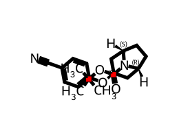 CC(C)(C)OC(=O)N1[C@@H]2CC[C@H]1C[C@H](Oc1ccc(C#N)cc1)C2